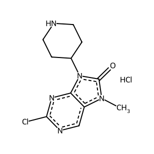 Cl.Cn1c(=O)n(C2CCNCC2)c2nc(Cl)ncc21